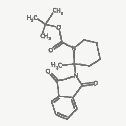 CC(C)(C)OC(=O)N1CCCCC1(C)N1C(=O)c2ccccc2C1=O